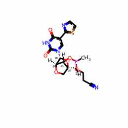 [2H]C[C@@]12CO[C@@H]([C@H](n3cc(-c4nccs4)c(=O)[nH]c3=O)O1)[C@@H]2OP(C)OCCC#N